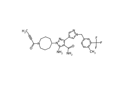 CC#CC(=O)N1CCCC(n2nc(-c3cnn(Cc4ccc(C)c(C(F)(F)F)c4)c3)c(C(N)=O)c2N)CCC1